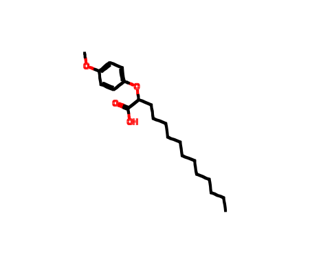 CCCCCCCCCCCCC(Oc1ccc(OC)cc1)C(=O)O